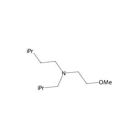 COCCN(CCC(C)C)CC(C)C